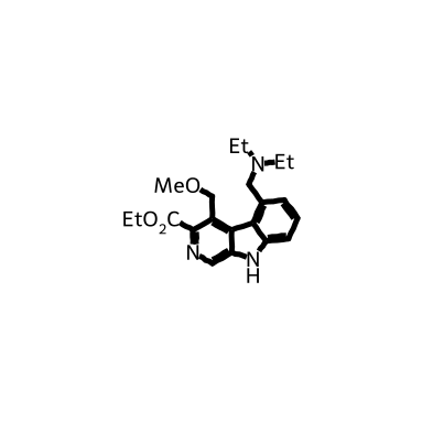 CCOC(=O)c1ncc2[nH]c3cccc(CN(CC)CC)c3c2c1COC